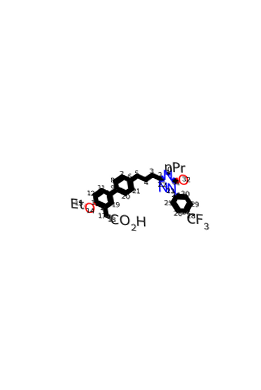 CCCn1c(CCCc2ccc(-c3ccc(OCC)c(CC(=O)O)c3)cc2)nn(-c2ccc(C(F)(F)F)cc2)c1=O